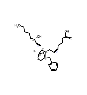 CCCCC[C@H](O)/C=C/[C@@H]1[C@@H](C/C=C\CCCC(=O)O)[C@@]2(Cc3ccccc3)CO[C@@H]1C2